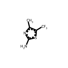 Cc1nc(N)sc1C(F)(F)F